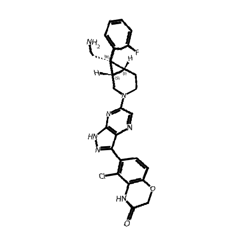 NC[C@]1(c2ccccc2F)[C@@H]2CCN(c3cnc4c(-c5ccc6c(c5Cl)NC(=O)CO6)n[nH]c4n3)C[C@@H]21